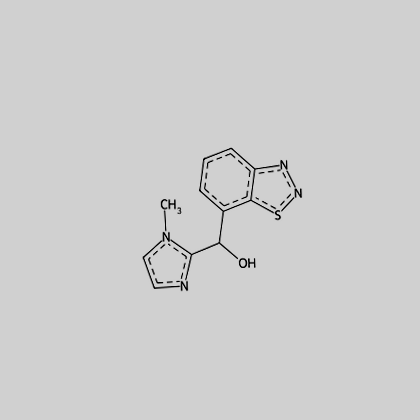 Cn1ccnc1C(O)c1cccc2nnsc12